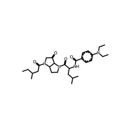 CCC(C)CC(=O)N1CC(=O)C2C1CCN2C(=O)C(CC(C)C)NC(=O)c1ccc(N(CC)CC)cc1